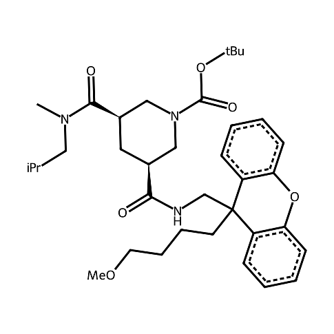 COCCCCC1(CNC(=O)[C@H]2C[C@@H](C(=O)N(C)CC(C)C)CN(C(=O)OC(C)(C)C)C2)c2ccccc2Oc2ccccc21